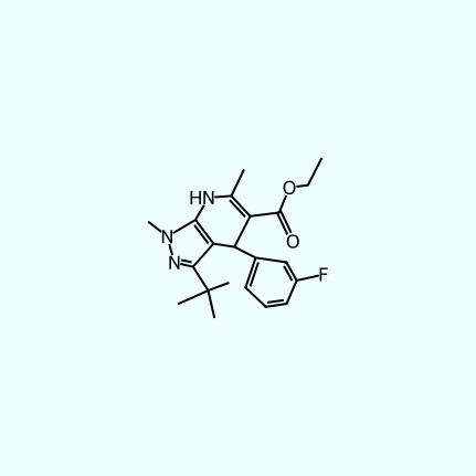 CCOC(=O)C1=C(C)Nc2c(c(C(C)(C)C)nn2C)C1c1cccc(F)c1